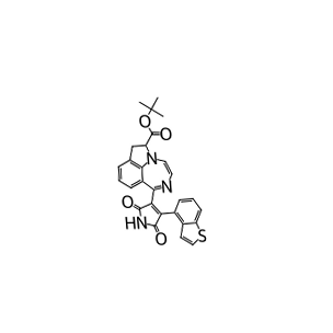 CC(C)(C)OC(=O)C1Cc2cccc3c2N1C=CN=C3C1=C(c2cccc3sccc23)C(=O)NC1=O